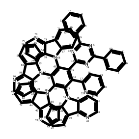 c1ccc(-c2nc(-c3ccccc3)nc(-c3c(-c4ccccn4)c(-n4c5ccccc5c5ncccc54)c(-n4c5ccccc5c5ncccc54)c(-n4c5ccccc5c5ncccc54)c3-n3c4ccccc4c4ncccc43)n2)cc1